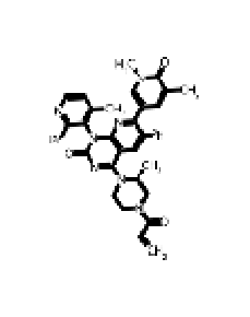 [2H]c1cc2c(N3CCN(C(=O)C=C)C[C@@H]3C)nc(=O)n(-c3c(C)ccnc3C(C)C)c2nc1-c1cc(C)c(=O)n(C)c1